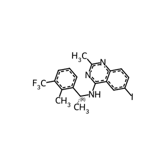 Cc1nc(N[C@H](C)c2cccc(C(F)(F)F)c2C)c2cc(I)ccc2n1